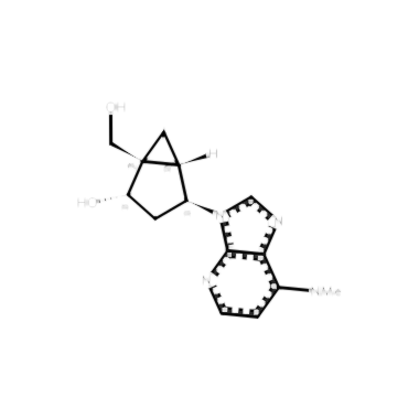 CNc1ccnc2c1ncn2[C@H]1C[C@H](O)[C@]2(CO)C[C@H]12